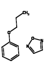 CCCOc1ccccc1.c1cnon1